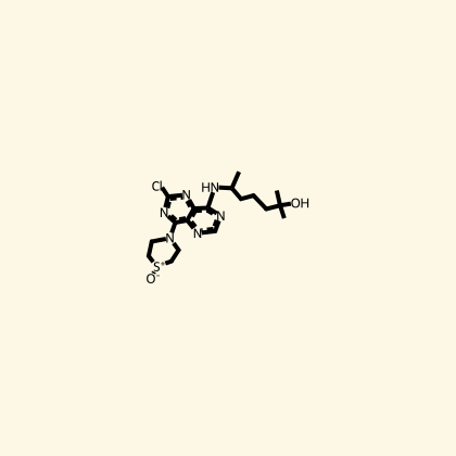 CC(CCCC(C)(C)O)Nc1ncnc2c(N3CC[S+]([O-])CC3)nc(Cl)nc12